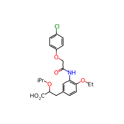 CCOc1ccc(CC(OC(C)C)C(=O)O)cc1NC(=O)COc1ccc(Cl)cc1